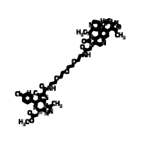 COC(=O)C[C@@H]1N=C(c2ccc(Cl)cc2)c2c(sc(C(=O)NCCOCCOCCOCCNC(=O)Cn3c(=O)n([C@H](C)c4ccccn4)c4c5cc(OC)c(-c6c(C)noc6C)cc5ncc43)c2C)-n2c(C)nnc21